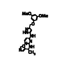 COc1cc(OC)cc(OCc2cc(Nc3ccnc(NC(C)c4cnco4)n3)[nH]n2)c1